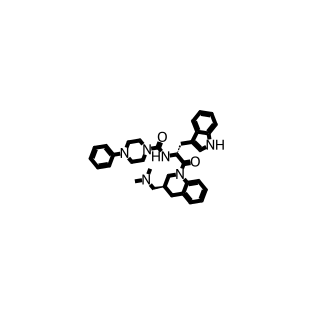 CN(C)C[C@@H]1Cc2ccccc2N(C(=O)[C@@H](Cc2c[nH]c3ccccc23)NC(=O)N2CCN(c3ccccc3)CC2)C1